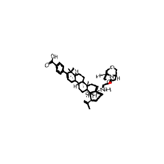 C=C(C)[C@@H]1CC[C@]2(NCCN3[C@H]4COC[C@H]3COC4)CC[C@]3(C)[C@H](CC[C@@H]4[C@@]5(C)CC=C(c6ccc(C(=O)O)cc6)C(C)(C)[C@@H]5CC[C@]43C)[C@@H]12